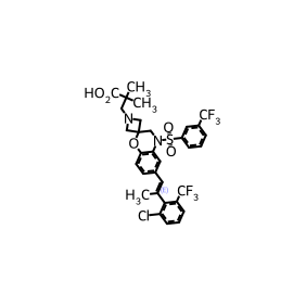 C/C(=C\c1ccc2c(c1)N(S(=O)(=O)c1cccc(C(F)(F)F)c1)CC1(CN(CC(C)(C)C(=O)O)C1)O2)c1c(Cl)cccc1C(F)(F)F